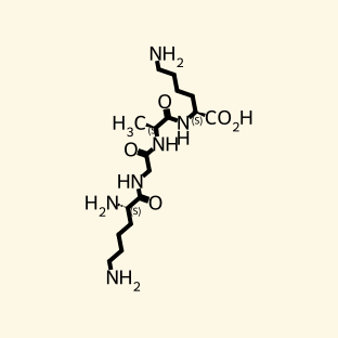 C[C@H](NC(=O)CNC(=O)[C@@H](N)CCCCN)C(=O)N[C@@H](CCCCN)C(=O)O